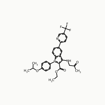 CCOC(=O)c1c(NCC(C)=O)c2cc(-c3ccc(C(F)(F)F)cn3)ccc2n1-c1ccc(OC(C)C)cc1